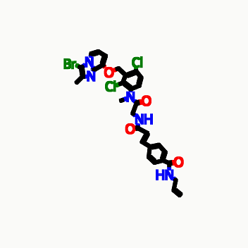 C=CCNC(=O)c1ccc(/C=C/C(=O)NCC(=O)N(C)c2ccc(Cl)c(COc3cccn4c(Br)c(C)nc34)c2Cl)cc1